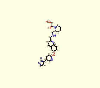 O=C(CO)N1CCCCC1CNCc1ccc2cc(Oc3ccc(-c4ccn[nH]4)cn3)ccc2n1